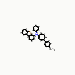 Cc1ccc(C2=CC=C(N(c3ccccc3)c3cccc4c3sc3ccccc34)C=CC2)cc1